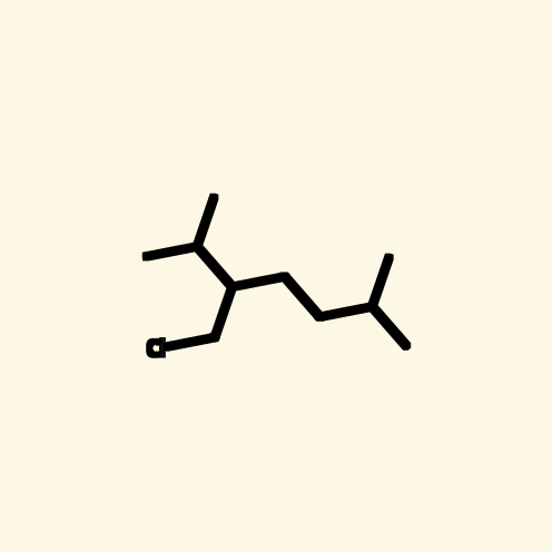 CC(C)CCC(CCl)C(C)C